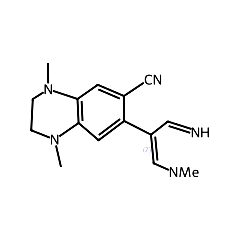 CN/C=C(\C=N)c1cc2c(cc1C#N)N(C)CCN2C